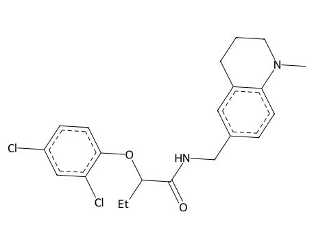 CCC(Oc1ccc(Cl)cc1Cl)C(=O)NCc1ccc2c(c1)CCCN2C